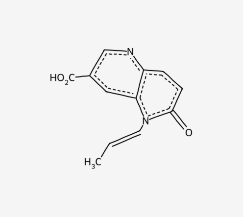 CC=Cn1c(=O)ccc2ncc(C(=O)O)cc21